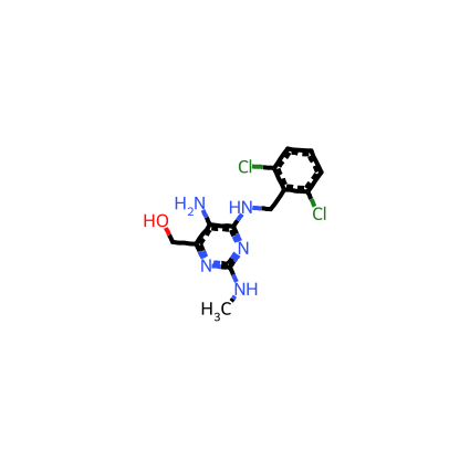 CNc1nc(CO)c(N)c(NCc2c(Cl)cccc2Cl)n1